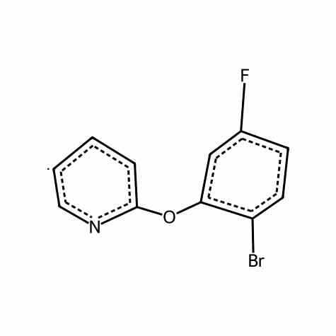 Fc1ccc(Br)c(Oc2cc[c]cn2)c1